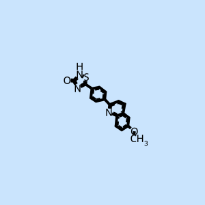 COc1ccc2nc(-c3ccc(-c4nc(=O)[nH]s4)cc3)ccc2c1